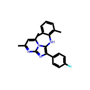 Cc1cc(C)n2c(Nc3c(C)cccc3C)c(-c3ccc(F)cc3)nc2n1